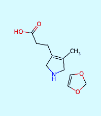 C1=COCO1.CC1=C(CCC(=O)O)CNC1